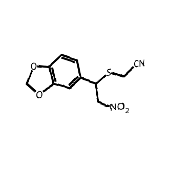 N#CCSC(C[N+](=O)[O-])c1ccc2c(c1)OCO2